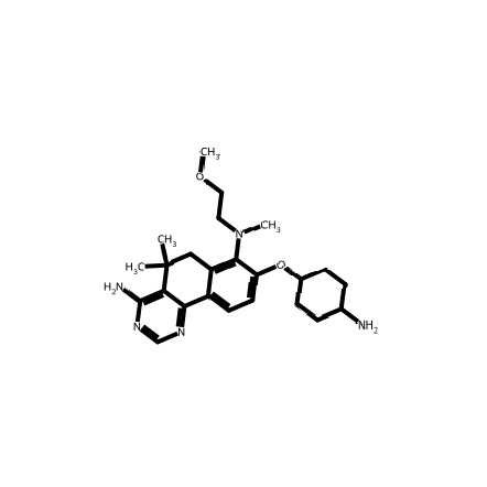 COCCN(C)c1c(OC2CCC(N)CC2)ccc2c1CC(C)(C)c1c(N)ncnc1-2